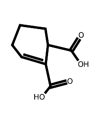 O=C(O)C1=CCCCC1C(=O)O